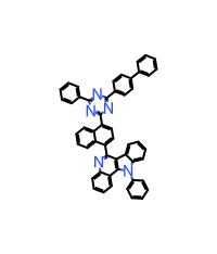 c1ccc(-c2ccc(-c3nc(-c4ccccc4)nc(-c4ccc(-c5nc6ccccc6c6c5c5ccccc5n6-c5ccccc5)c5ccccc45)n3)cc2)cc1